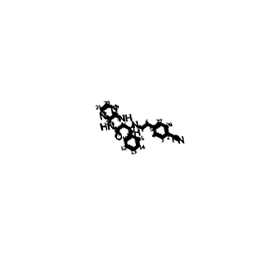 N#Cc1ccc(CCN[C@H](c2ccccc2)[C@H]2Nc3nccnc3NC2=O)cc1